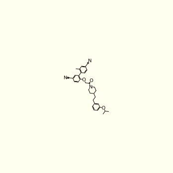 Cc1cc(C#N)ccc1-c1cc(C#N)ccc1OCC(=O)N1CCC(CCc2cccc(OC(C)C)c2)CC1